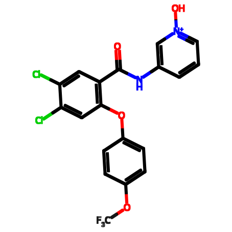 O=C(Nc1ccc[n+](O)c1)c1cc(Cl)c(Cl)cc1Oc1ccc(OC(F)(F)F)cc1